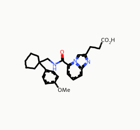 COc1ccc(C2(CNC(=O)c3cccc4nc(CCC(=O)O)cn34)CCCCC2)cc1